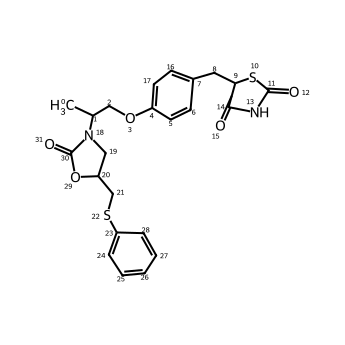 CC(COc1ccc(CC2SC(=O)NC2=O)cc1)N1CC(CSc2ccccc2)OC1=O